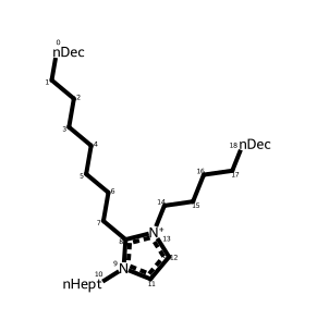 CCCCCCCCCCCCCCCCCc1n(CCCCCCC)cc[n+]1CCCCCCCCCCCCCC